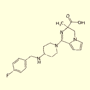 CC1(C(=O)O)Cn2cccc2C(N2CCC(NCc3ccc(F)cc3)CC2)=N1